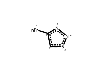 [CH2]CCc1csnn1